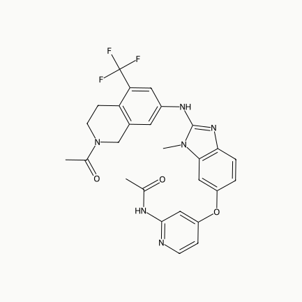 CC(=O)Nc1cc(Oc2ccc3nc(Nc4cc5c(c(C(F)(F)F)c4)CCN(C(C)=O)C5)n(C)c3c2)ccn1